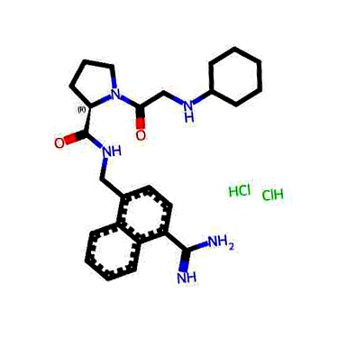 Cl.Cl.N=C(N)c1ccc(CNC(=O)[C@H]2CCCN2C(=O)CNC2CCCCC2)c2ccccc12